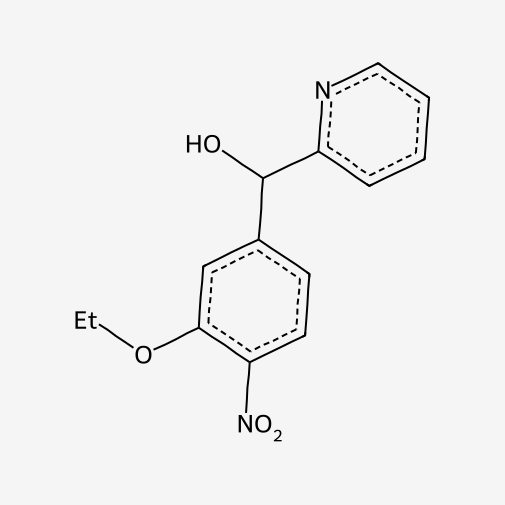 CCOc1cc(C(O)c2ccccn2)ccc1[N+](=O)[O-]